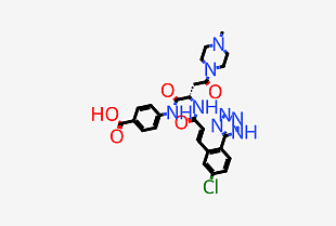 CN1CCN(C(=O)C[C@H](NC(=O)/C=C/c2cc(Cl)ccc2-c2nnn[nH]2)C(=O)Nc2ccc(C(=O)O)cc2)CC1